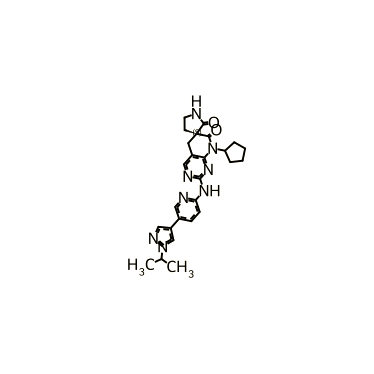 CC(C)n1cc(-c2ccc(Nc3ncc4c(n3)N(C3CCCC3)C(=O)[C@]3(CCNC3=O)C4)nc2)cn1